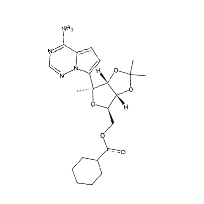 CC1(C)O[C@H]2[C@@H](O1)[C@](C)(c1ccc3c(N)ncnn13)O[C@@H]2COC(=O)C1CCCCC1